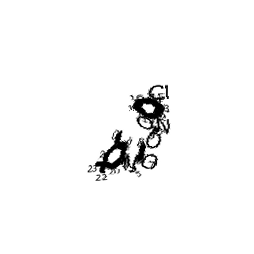 CC1CC(N(C)C(=O)COc2nc3cc(Cl)ccc3o2)=CC(C)(C)C1